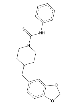 S=C(Nc1ccccc1)N1CCN(Cc2ccc3c(c2)OCO3)CC1